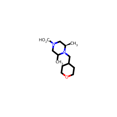 CC1CN(C(=O)O)C[C@@H](C)N1CC1CCOCC1